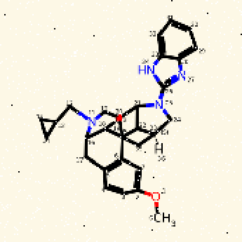 COc1ccc2c(c1)C13CCN(CC4CC4)C(C2)C12CCC1C3[C@@H](CN1c1nc3ccccc3[nH]1)C2